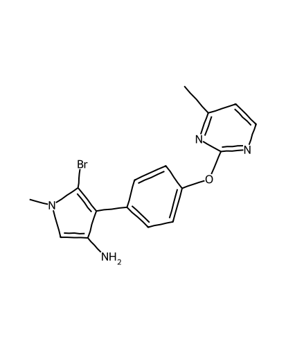 Cc1ccnc(Oc2ccc(-c3c(N)cn(C)c3Br)cc2)n1